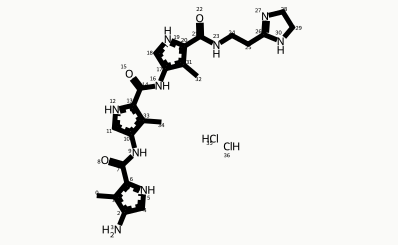 Cc1c(N)c[nH]c1C(=O)Nc1c[nH]c(C(=O)Nc2c[nH]c(C(=O)NCCC3=NCCN3)c2C)c1C.Cl.Cl